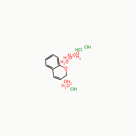 C1=Cc2ccccc2OC1.Cl.Cl.Cl.O.O.O.O.O.O